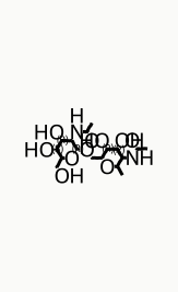 CC(=O)NC1[C@H](OCC2OC(C)C(NC(C)=O)[C@@H](O)[C@H]2O)OC(CO)[C@@H](O)[C@@H]1O